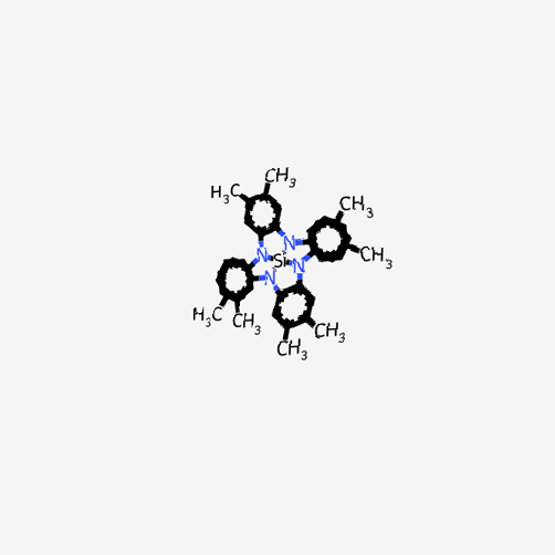 Cc1cccc(N2c3cc(C)c(C)cc3N(c3cccc(C)c3)[Si]23N(c2cccc(C)c2)c2cc(C)c(C)cc2N3c2cccc(C)c2)c1